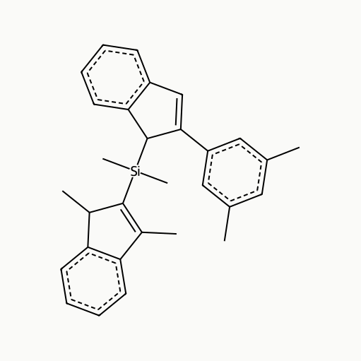 CC1=C([Si](C)(C)C2C(c3cc(C)cc(C)c3)=Cc3ccccc32)C(C)c2ccccc21